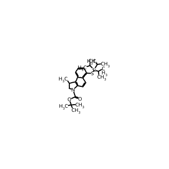 CC1CN(C(=O)OC(C)(C)C)c2ccc3c(S[Si](C(C)C)(C(C)C)C(C)C)cccc3c21